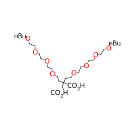 CCCCOCCOCCOCCOCCC(CCOCCOCCOCCOCCCC)(CC(=O)O)C(=O)O